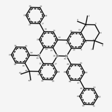 CC1(C)CCC(C)(C)c2cc3c(cc21)-c1cc(-c2ccccc2)cc2c1B(c1cccc4c1N2c1ccccc1C4(C)C)N3c1ccc(-c2ccccc2)cc1